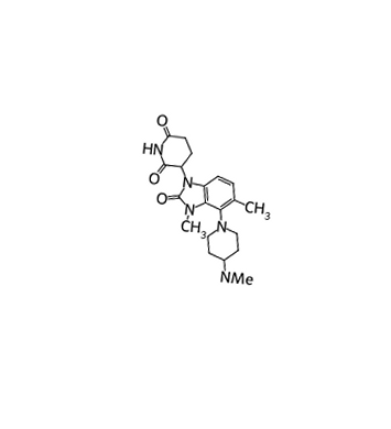 CNC1CCN(c2c(C)ccc3c2n(C)c(=O)n3C2CCC(=O)NC2=O)CC1